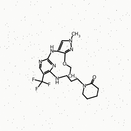 CCOc1nn(C)cc1Nc1ncc(C(F)(F)F)c(NCCCN2CCCCC2=O)n1